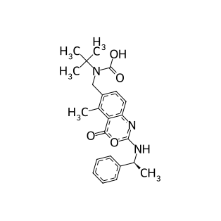 Cc1c(CN(C(=O)O)C(C)(C)C)ccc2nc(N[C@@H](C)c3ccccc3)oc(=O)c12